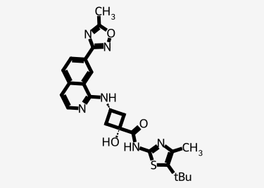 Cc1nc(-c2ccc3ccnc(N[C@H]4C[C@](O)(C(=O)Nc5nc(C)c(C(C)(C)C)s5)C4)c3c2)no1